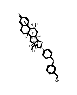 C[C@]12C=CC(=O)C=C1CC[C@@H]1[C@@H]2[C@@H](O)C[C@@]2(C)[C@H]1C[C@H]1O[C@@H](C3=CCC(Sc4cccc(CO)c4)C=C3)O[C@]12C(=O)CO